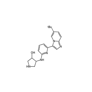 CC(C)(C)c1ccc2ncc(-c3cccc(NC4CNCC4O)n3)n2c1